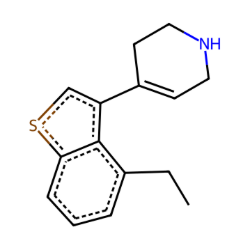 CCc1cccc2scc(C3=CCNCC3)c12